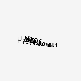 CC(C)(N)C(=O)N1CCN(C(=O)Nc2ccn(-c3ccc(CCN4CCNCC4)cc3)c(=O)n2)CC1